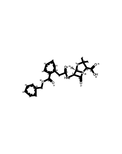 CC1(C)S[C@@H]2C(NC(=O)Cc3ccccc3C(=O)OCc3ccccc3)C(=O)N2C1C(=O)O